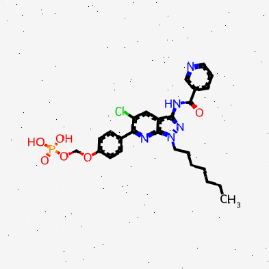 CCCCCCCn1nc(NC(=O)c2cccnc2)c2cc(Cl)c(-c3ccc(OCOP(=O)(O)O)cc3)nc21